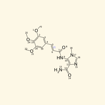 COc1cc(/C=C/C(=O)Nc2c(C(N)=O)ncn2C)cc(OC)c1OC